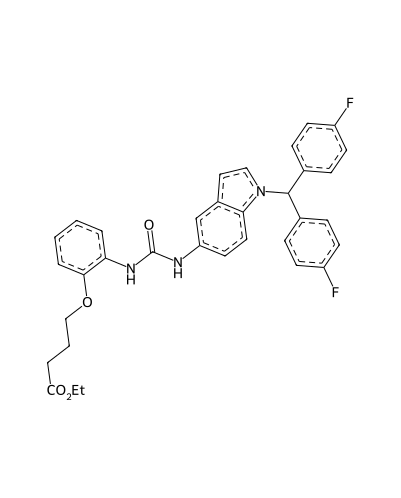 CCOC(=O)CCCOc1ccccc1NC(=O)Nc1ccc2c(ccn2C(c2ccc(F)cc2)c2ccc(F)cc2)c1